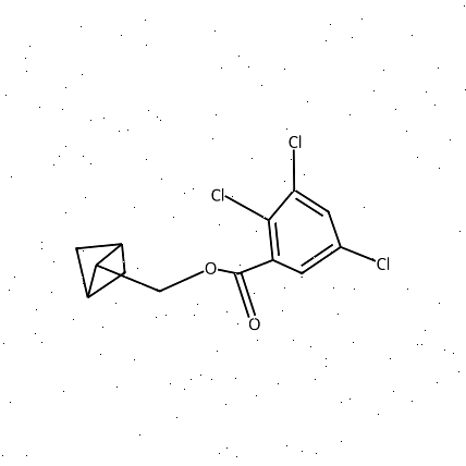 O=C(OCC1C2CC1C2)c1[c]c(Cl)cc(Cl)c1Cl